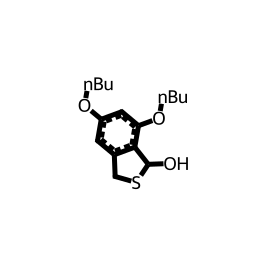 CCCCOc1cc2c(c(OCCCC)c1)C(O)SC2